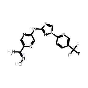 N/C(=N\O)c1cnc(Nc2ncn(-c3ccc(C(F)(F)F)cn3)n2)cn1